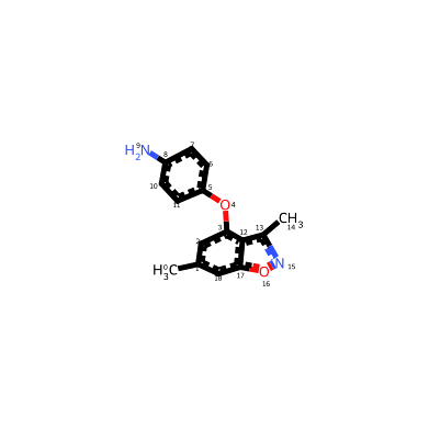 Cc1cc(Oc2ccc(N)cc2)c2c(C)noc2c1